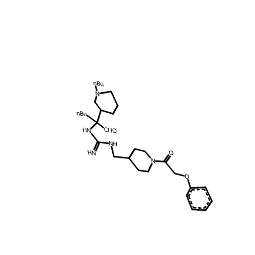 CCCCN1CCCC(C(C=O)(CCCC)NC(=N)NCC2CCN(C(=O)COc3ccccc3)CC2)C1